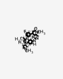 C=CC(=O)Nc1cc(Nc2ncc3c(n2)c(-c2cccc(F)c2)cc(=O)n3C)ccc1N(C)C1CCN(C)C1